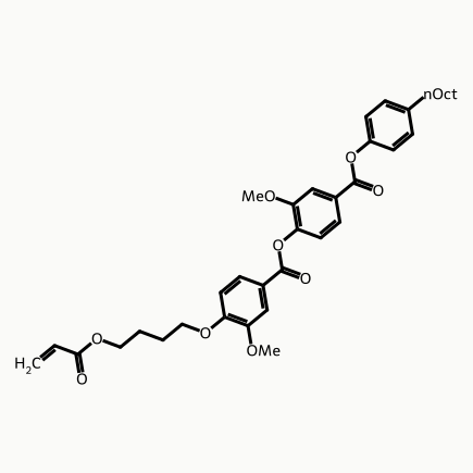 C=CC(=O)OCCCCOc1ccc(C(=O)Oc2ccc(C(=O)Oc3ccc(CCCCCCCC)cc3)cc2OC)cc1OC